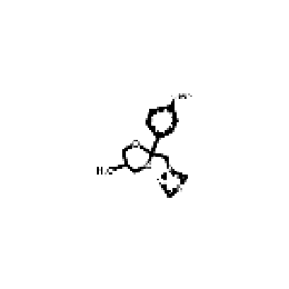 COc1ccc(C2(Cn3cncn3)OCC(C)CO2)cc1